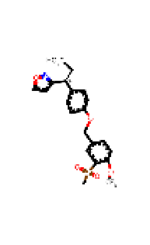 CS(=O)(=O)c1cc(COc2ccc([C@H](CC(=O)O)c3ccon3)cc2)ccc1OC(F)(F)F